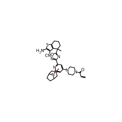 C=CC(=O)N1CCN(c2cc(-c3noc(C4(C)CCCc5sc(N)c(C#N)c54)n3)nc(N3C4CCC3CN(C)C4)c2)CC1